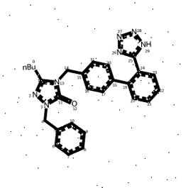 CCCCc1nn(Cc2ccccc2)c(=O)n1Cc1ccc(-c2ccccc2-c2nnn[nH]2)cc1